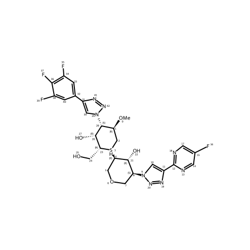 CO[C@H]1C[SH]([C@@H]2COC[C@H](n3cc(-c4ncc(F)cn4)nn3)[C@H]2O)[C@H](CO)[C@H](O)[C@@H]1n1cc(-c2cc(F)c(F)c(F)c2)nn1